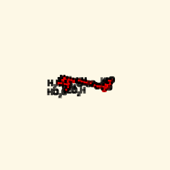 Nc1nc(N)c2nc(CN(CCCCCCNC(=O)CCOCCOCCOCCOCCOc3cccc4c3C(=O)N(C3CCC(=O)NC3=O)C4=O)c3ccc(C(=O)N[C@@H](CCC(=O)O)C(=O)O)cc3)cnc2n1